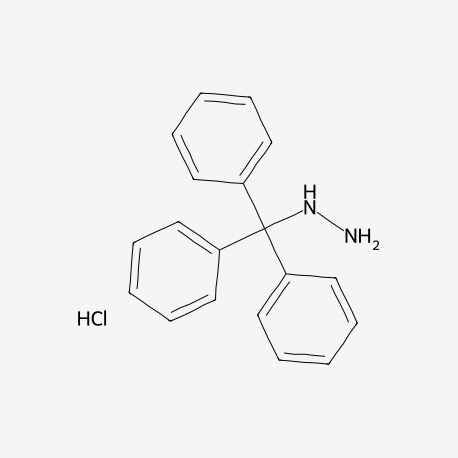 Cl.NNC(c1ccccc1)(c1ccccc1)c1ccccc1